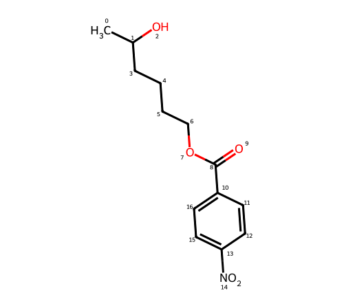 CC(O)CCCCOC(=O)c1ccc([N+](=O)[O-])cc1